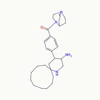 NC1CNC2(CCCCCCCCC2)CC1c1ccc(C(=O)N2CCN3CCC2CC3)cc1